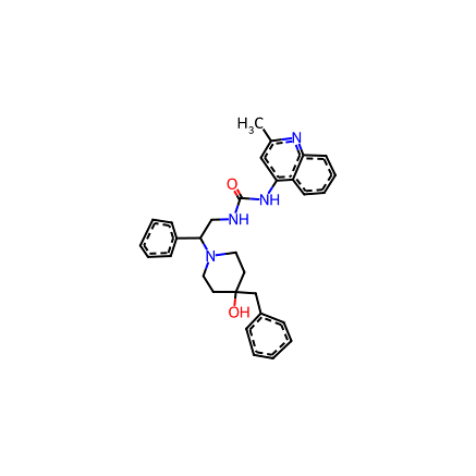 Cc1cc(NC(=O)NCC(c2ccccc2)N2CCC(O)(Cc3ccccc3)CC2)c2ccccc2n1